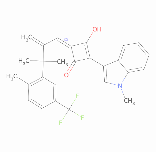 C=C(/C=C1\C(=O)C(c2cn(C)c3ccccc23)=C1O)C(C)(C)c1cc(C(F)(F)F)ccc1C